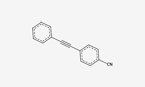 N#Cc1ccc(C#Cc2c[c]ccc2)cc1